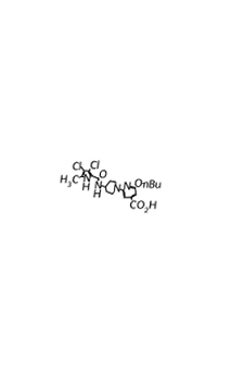 CCCCOc1cc(C(=O)O)cc(N2CCC(NC(=O)c3[nH]c(C)c(Cl)c3Cl)CC2)n1